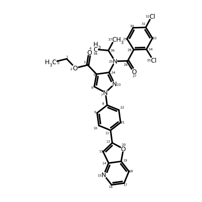 CCOC(=O)c1cn(-c2ccc(-c3cc4ncccc4o3)cc2)nc1N(C(=O)c1ccc(Cl)cc1Cl)C(C)C